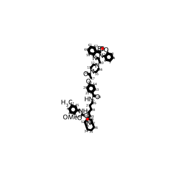 CCOc1ccccc1-n1c(CN2CCN(C(=O)COc3ccc(C(=O)NCCCCCCN4C5CCCC4CC(OC(=O)Nc4cc(C)ccc4OC)C5)cc3)CC2)nc2ccccc2c1=O